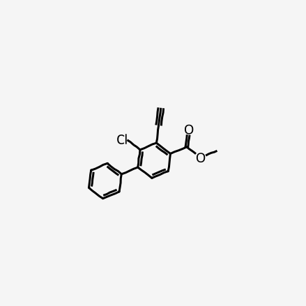 C#Cc1c(C(=O)OC)ccc(-c2ccccc2)c1Cl